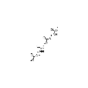 COC(=O)NCNC(=O)OCOC(=O)NCNC(=O)OC